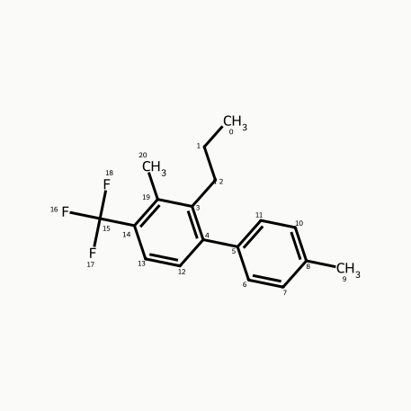 CC[CH]c1c(-c2ccc(C)cc2)ccc(C(F)(F)F)c1C